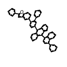 c1ccc(-c2cc3cc(-c4ccc(-c5c6ccccc6c(-c6ccc(-c7ccccc7)c7ccccc67)c6ccccc56)cc4-c4ccccc4)ccc3o2)cc1